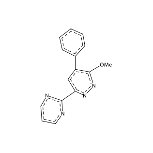 COc1nnc(-c2ncccn2)cc1-c1ccccc1